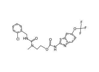 CN(CCOC(=O)Nc1nc2ccc(OC(F)(F)F)cc2s1)C(=O)NCc1ccccc1Cl